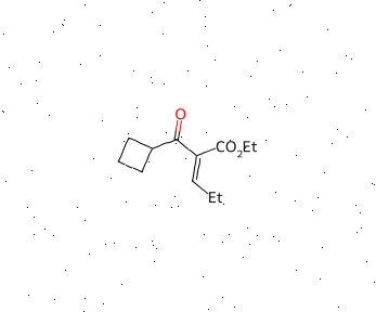 CCC=C(C(=O)OCC)C(=O)C1CCC1